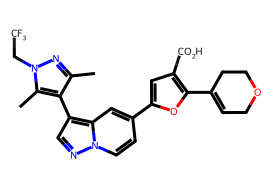 Cc1nn(CC(F)(F)F)c(C)c1-c1cnn2ccc(-c3cc(C(=O)O)c(C4=CCOCC4)o3)cc12